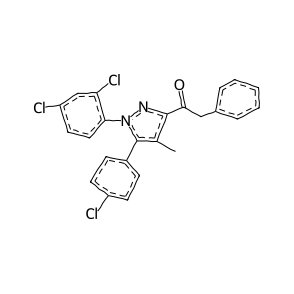 Cc1c(C(=O)Cc2ccccc2)nn(-c2ccc(Cl)cc2Cl)c1-c1ccc(Cl)cc1